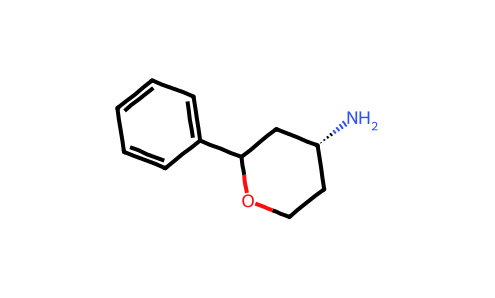 N[C@@H]1CCOC(c2ccccc2)C1